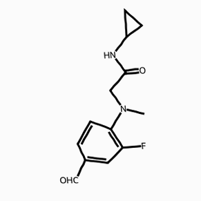 CN(CC(=O)NC1CC1)c1ccc(C=O)cc1F